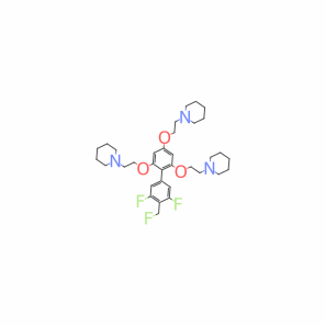 FCc1c(F)cc(-c2c(OCCN3CCCCC3)cc(OCCN3CCCCC3)cc2OCCN2CCCCC2)cc1F